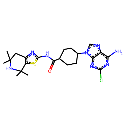 CC1(C)Cc2nc(NC(=O)C3CCC(n4cnc5c(N)nc(Cl)nc54)CC3)sc2C(C)(C)N1